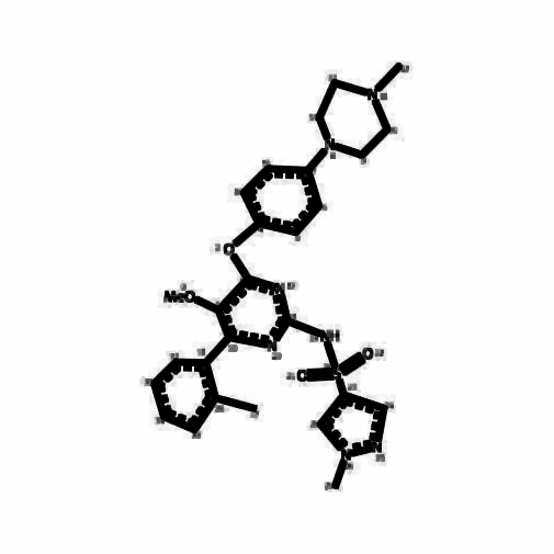 COc1c(Oc2ccc(N3CCN(C)CC3)cc2)nc(NS(=O)(=O)c2cnn(C)c2)nc1-c1ccccc1C